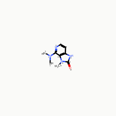 CCCN(CCC)c1nccc2[nH]c(=O)n(C)c12